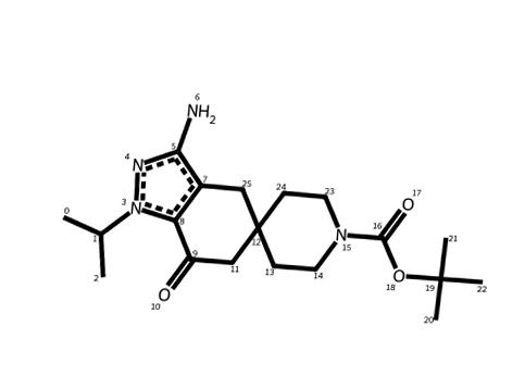 CC(C)n1nc(N)c2c1C(=O)CC1(CCN(C(=O)OC(C)(C)C)CC1)C2